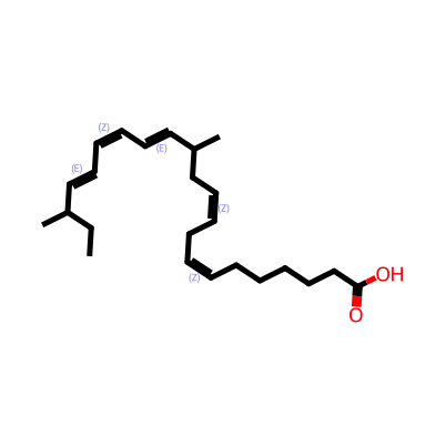 CCC(C)/C=C/C=C\C=C\C(C)C/C=C\C/C=C\CCCCCC(=O)O